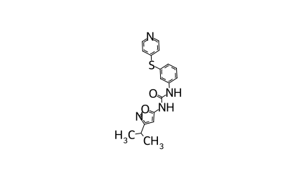 CC(C)c1cc(NC(=O)Nc2cccc(Sc3ccncc3)c2)on1